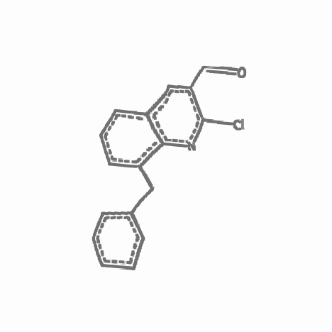 O=Cc1cc2cccc(Cc3ccccc3)c2nc1Cl